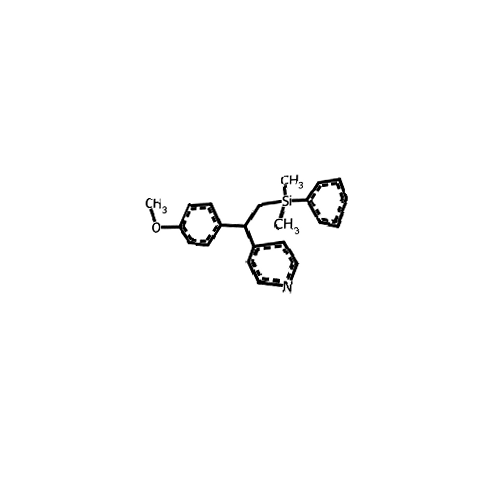 COc1ccc(C(C[Si](C)(C)c2ccccc2)c2ccncc2)cc1